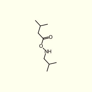 CC(C)CNOC(=O)CC(C)C